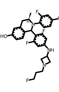 C[C@@H]1Cc2cc(O)ccc2C(c2c(F)cc(NC3CN(CCCF)C3)cc2F)N1c1ccc(F)cc1F